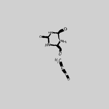 C=C=C=O.O=c1[nH]c(=O)[nH]c(=O)[nH]1